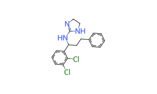 Clc1cccc(C(CCc2ccccc2)NC2=NCCN2)c1Cl